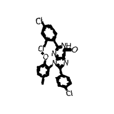 COc1ccc(C)cc1-n1c(-c2ccc(Cl)cc2)nc2c(=O)[nH]c(-c3ccc(Cl)cc3Cl)nc21